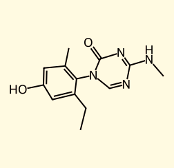 CCc1cc(O)cc(C)c1-n1cnc(NC)nc1=O